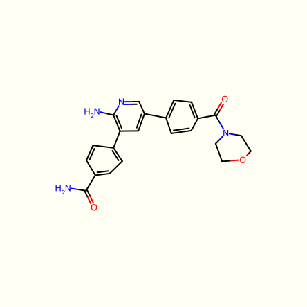 NC(=O)c1ccc(-c2cc(-c3ccc(C(=O)N4CCOCC4)cc3)cnc2N)cc1